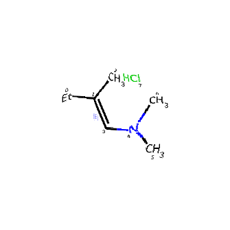 CC/C(C)=C/N(C)C.Cl